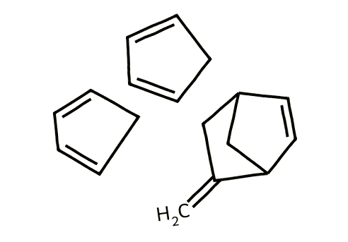 C1=CCC=C1.C1=CCC=C1.C=C1CC2C=CC1C2